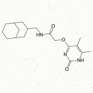 Cc1[nH]c(=O)nc(OCC(=O)NCC2CC3CCCC(C3)C2)c1C